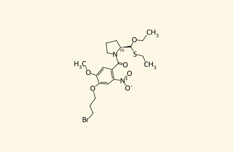 CCOC(SCC)[C@@H]1CCCN1C(=O)c1cc(OC)c(OCCCBr)cc1[N+](=O)[O-]